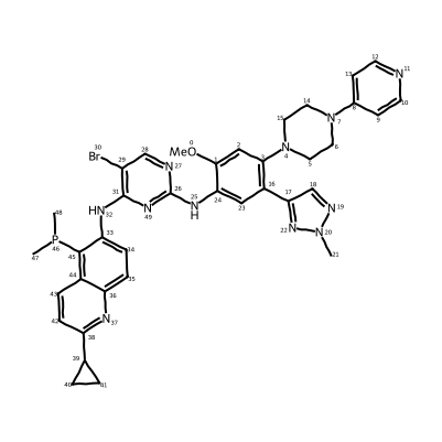 COc1cc(N2CCN(c3ccncc3)CC2)c(-c2cnn(C)n2)cc1Nc1ncc(Br)c(Nc2ccc3nc(C4CC4)ccc3c2P(C)C)n1